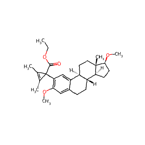 CCOC(=O)C1(c2cc3c(cc2OC)CC[C@@H]2[C@@H]3CC[C@]3(C)[C@@H](OC)CC[C@@H]23)C(C)=C1C